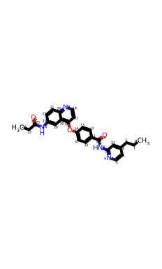 CCCc1ccnc(NC(=O)c2ccc(Oc3ccnc4ccc(NC(=O)CC)cc34)cc2)c1